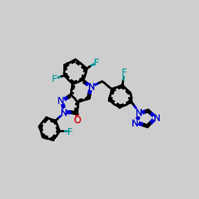 O=c1c2cn(Cc3ccc(-n4cncn4)cc3F)c3c(F)ccc(F)c3c-2nn1-c1ccccc1F